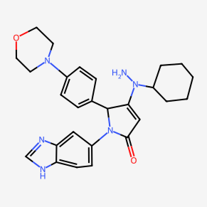 NN(C1=CC(=O)N(c2ccc3[nH]cnc3c2)C1c1ccc(N2CCOCC2)cc1)C1CCCCC1